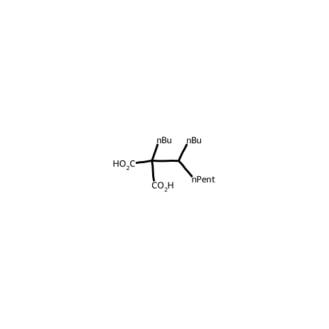 CCCCCC(CCCC)C(CCCC)(C(=O)O)C(=O)O